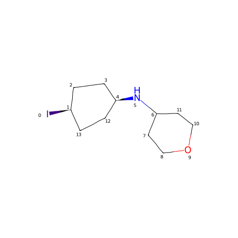 I[C@H]1CC[C@@H](NC2CCOCC2)CC1